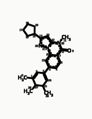 CC1=CC(c2ccc3c(=O)n(C)c4cc(C5CCCC5)nn4c3c2)=CC(C)C1C